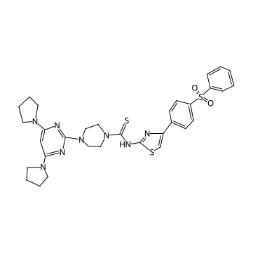 O=S(=O)(c1ccccc1)c1ccc(-c2csc(NC(=S)N3CCN(c4nc(N5CCCC5)cc(N5CCCC5)n4)CC3)n2)cc1